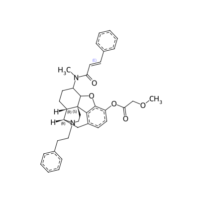 COCC(=O)Oc1ccc2c3c1OC1C(N(C)C(=O)/C=C/c4ccccc4)CC[C@H]4[C@@H](C2)N(CCc2ccccc2)CC[C@]314